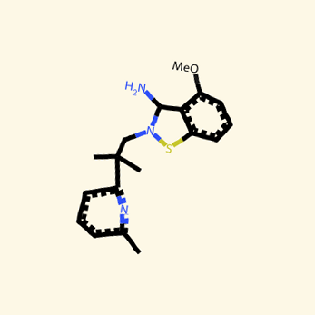 COc1cccc2c1C(N)N(CC(C)(C)c1cccc(C)n1)S2